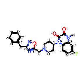 Cn1c(=O)c(=O)n(C2CCN(Cc3nc(Cc4ccccc4)no3)CC2)c2ccc(F)cc21